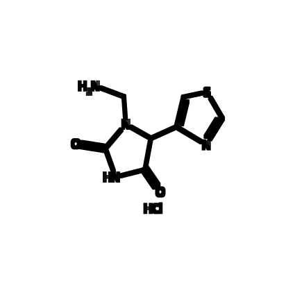 Cl.NCN1C(=O)NC(=O)C1c1cscn1